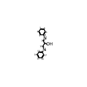 OC(C=Nc1ccccc1)C=Nc1ccccc1